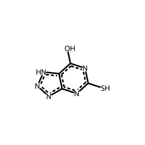 Oc1nc(S)nc2nn[nH]c12